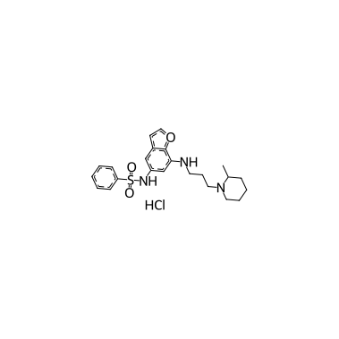 CC1CCCCN1CCCNc1cc(NS(=O)(=O)c2ccccc2)cc2ccoc12.Cl